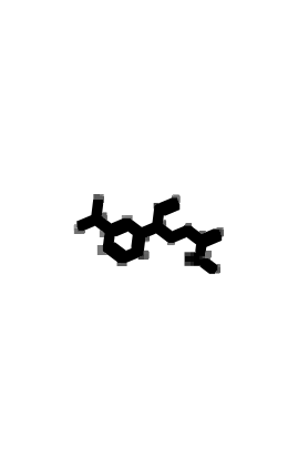 C=CC(CCC(=C)NC)c1cccc(C(C)C)c1